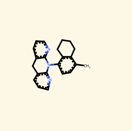 Cc1ccc(N2c3ncccc3Cc3cccnc32)c2c1CCCC2